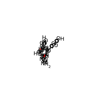 CO[C@H]1[C@H]2O[P@](=O)(SCc3ccc(OC(=O)c4ccc(O)cc4)cc3)OC[C@H]3O[C@@H](n4cnc5c(N)ncnc54)[C@H](OP(=O)(O)OC[C@H]1O[C@H]2n1ccc(=O)[nH]c1=O)[C@@H]3F